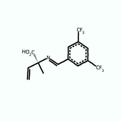 C=C[C@](C)(N=Cc1cc(C(F)(F)F)cc(C(F)(F)F)c1)C(=O)O